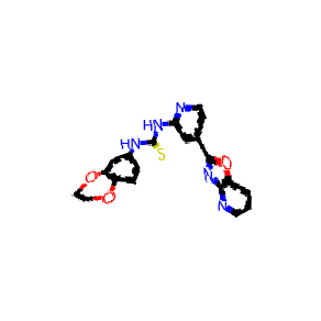 S=C(Nc1ccc2c(c1)OCCO2)Nc1cc(-c2nc3ncccc3o2)ccn1